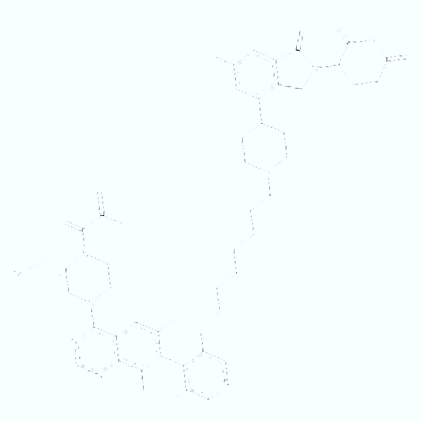 C=C(Cl)C(=O)N1CCN(c2ncnc3c(F)c(-c4c(F)cccc4OCCCCCCCN4CCC(c5cc(F)cc6c5CN(C5CCC(=O)NC5=O)C6=O)CC4)c(Cl)cc23)C[C@@H]1CC#N